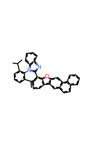 CC(C)c1cccc(C(C)C)c1-n1c(-c2cccc3c2oc2cc4c(ccc5ccccc54)cc23)nc2ccccc21